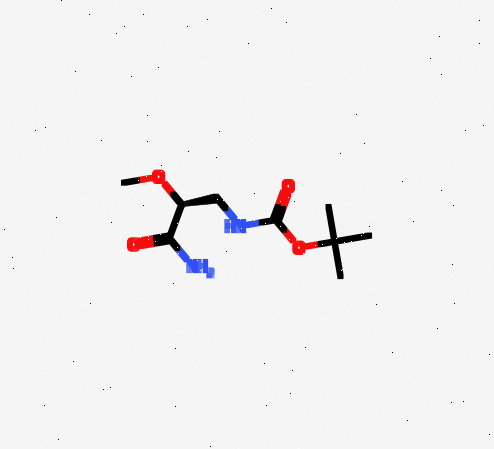 CO[C@@H](CNC(=O)OC(C)(C)C)C(N)=O